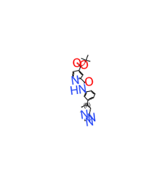 C[C@H](Cc1nncn1C)c1cccc(NC(=O)c2cc(C(=O)OC(C)(C)C)ccn2)c1